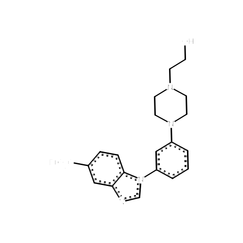 CCOC(=O)c1ccc2c(c1)ncn2-c1cccc(N2CCN(CCO)CC2)c1